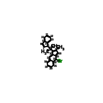 CC1=C([Si](C)(C)C2C=Cc3ccccc32)C2=Cc3ccccc3C(Br)C2=C1